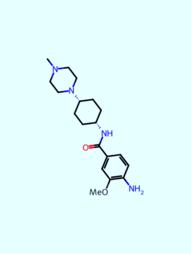 COc1cc(C(=O)N[C@H]2CC[C@@H](N3CCN(C)CC3)CC2)ccc1N